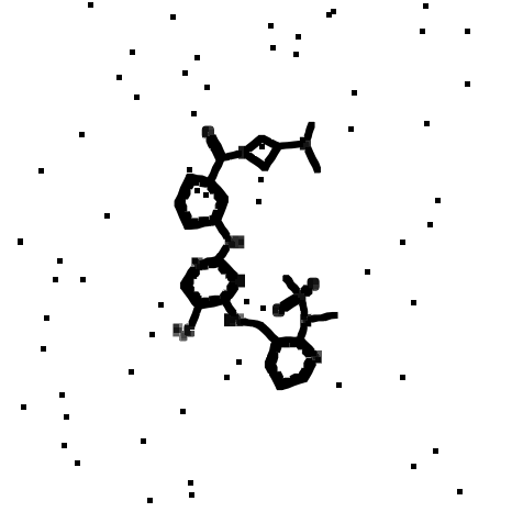 CN(C)C1CN(C(=O)c2cccc(Nc3ncc(C(F)(F)F)c(NCc4cccnc4N(C)S(C)(=O)=O)n3)c2)C1